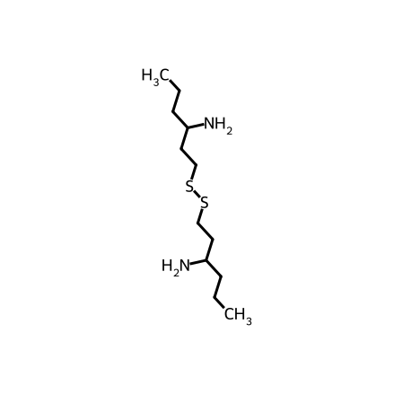 CCCC(N)CCSSCCC(N)CCC